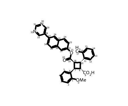 COc1ccccc1[C@@H]1[C@@H](C(=O)O)[C@@H](c2ccccc2C)[C@@H]1C(=O)Oc1ccc2cc(-c3cncnc3)ccc2c1